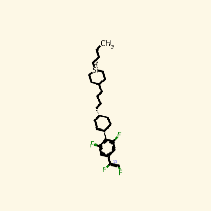 CCCC[SiH]1CCC(CCCC[C@H]2CC[C@H](c3c(F)cc(/C(F)=C/F)cc3F)CC2)CC1